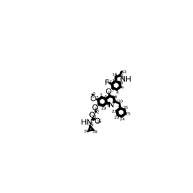 COc1cc2c(Oc3ccc4[nH]c(C)cc4c3F)cc(Cc3ccccc3)nc2cc1OCOC(=O)NC1CC1